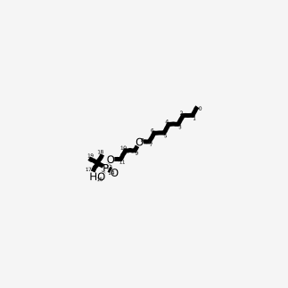 CCCCCCCCOCCCOP(=O)(O)C(C)(C)C